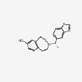 C[C@@H](c1ccc2scnc2c1)N1CCc2ccc(O)cc2CC1